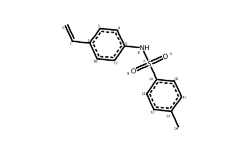 C=Cc1ccc(NS(=O)(=O)c2ccc(C)cc2)cc1